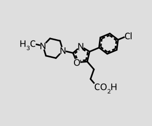 CN1CCN(c2nc(-c3ccc(Cl)cc3)c(CCC(=O)O)o2)CC1